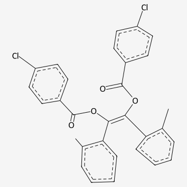 Cc1ccccc1C(OC(=O)c1ccc(Cl)cc1)=C(OC(=O)c1ccc(Cl)cc1)c1ccccc1C